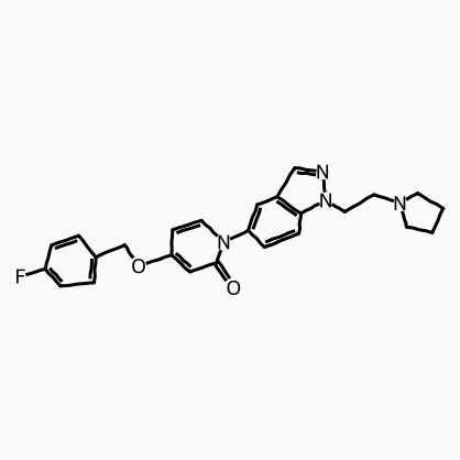 O=c1cc(OCc2ccc(F)cc2)ccn1-c1ccc2c(cnn2CCN2CCCC2)c1